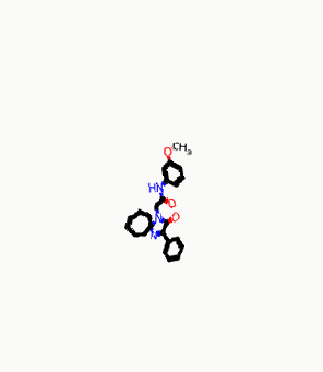 COc1cccc(NC(=O)CN2C(=O)C(c3ccccc3)=NC23CCCCCC3)c1